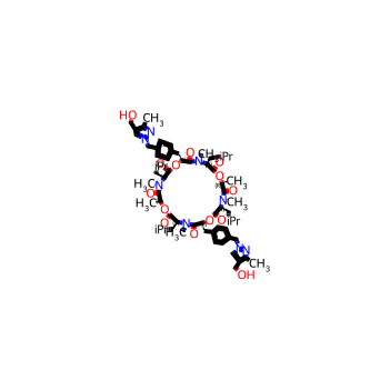 Cc1nn(Cc2ccc(C[C@H]3OC(=O)[C@H](CC(C)C)N(C)C(=O)[C@@H](C)OC(=O)[C@H](CC(C)C)N(C)C(=O)[C@@H](Cc4ccc(Cn5cc(CO)c(C)n5)cc4)OC(=O)[C@H](CC(C)C)N(C)C(=O)[C@@H](C)OC(=O)[C@H](CC(C)C)N(C)C3=O)cc2)cc1CO